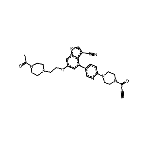 C#CC(=O)N1CCN(c2ccc(-c3cc(OCCN4CCN(C(C)=O)CC4)cn4ncc(C#N)c34)cn2)CC1